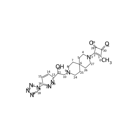 Cc1c(N2CCC3(CCN(CC(O)c4ccc(-n5cnnn5)nn4)CC3)CC2)c(=O)c1=O